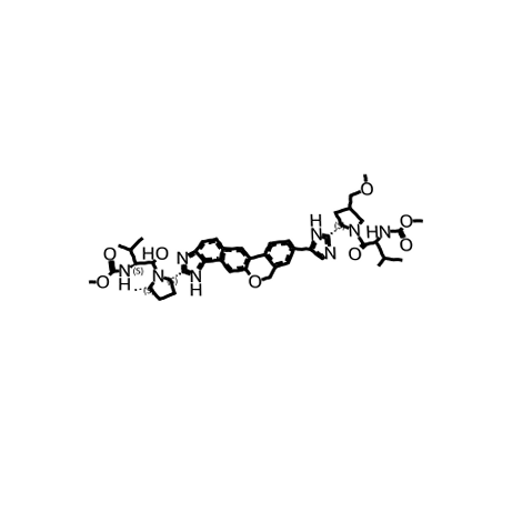 COCC1C[C@@H](c2ncc(-c3ccc4c(c3)COc3cc5c(ccc6nc([C@@H]7CC[C@H](C)N7C(O)[C@@H](NC(=O)OC)C(C)C)[nH]c65)cc3-4)[nH]2)N(C(=O)C(NC(=O)OC)C(C)C)C1